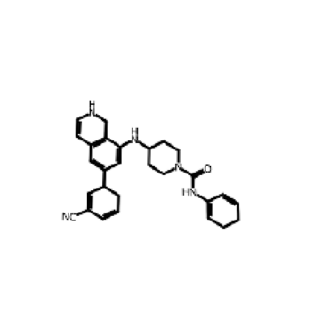 N#CC1=CC(c2cc3c(c(NC4CCN(C(=O)NC5=CCCC=C5)CC4)c2)CNC=C3)CC=C1